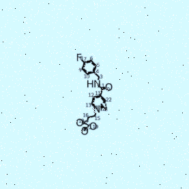 O=C(NCc1ccc(F)cc1)c1cc[n+](CCS(=O)(=O)[O-])nc1